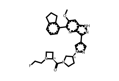 COc1cc2[nH]nc(-c3cnn([C@H]4CCN(C(=O)[C@@H]5CCN5CCF)C4)c3)c2nc1-c1cccc2c1CCC2